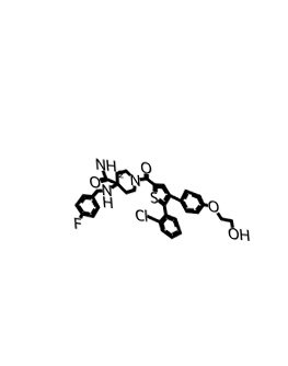 NC(=O)C1(NCc2ccc(F)cc2)CCN(C(=O)c2cc(-c3ccc(OCCO)cc3)c(-c3ccccc3Cl)s2)CC1